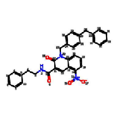 O=C(NCCc1ccccc1)c1cc2c([N+](=O)[O-])cccc2n(Cc2ccc(Cc3ccccc3)cc2)c1=O